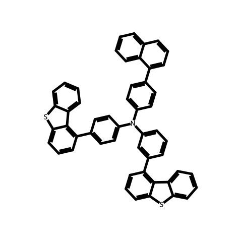 c1cc(-c2cccc3sc4ccccc4c23)cc(N(c2ccc(-c3cccc4ccccc34)cc2)c2ccc(-c3cccc4sc5ccccc5c34)cc2)c1